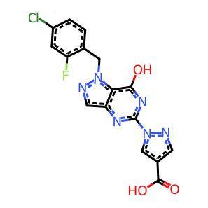 O=C(O)c1cnn(-c2nc(O)c3c(cnn3Cc3ccc(Cl)cc3F)n2)c1